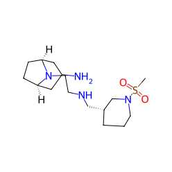 CS(=O)(=O)N1CCC[C@H](CNCCN2[C@@H]3CC[C@H]2CC(N)C3)C1